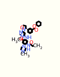 C=CC(=O)Nc1cc(Nc2cc(N3OCC[C@@H]3c3cccc(C(=O)OC4CCCCC4)c3)ncn2)c(OC)cc1N1CCN(C)CC1